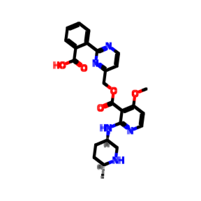 COc1ccnc(N[C@@H]2CC[C@@H](C)NC2)c1C(=O)OCc1ccnc(-c2ccccc2C(=O)O)n1